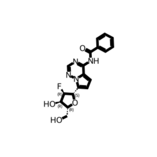 O=C(Nc1ncnn2c([C@@H]3O[C@H](CO)[C@@H](O)[C@H]3F)ccc12)c1ccccc1